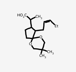 CC/C=C\CC1C(C(C)C(=O)O)CCC12OCC(C)(C)CO2